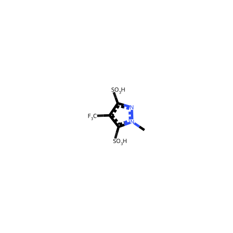 Cn1nc(S(=O)(=O)O)c(C(F)(F)F)c1S(=O)(=O)O